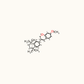 COc1ccc2c(c1)OCC(c1ccc3c(c1)C(C)(C)CCC3(C)C)=C2